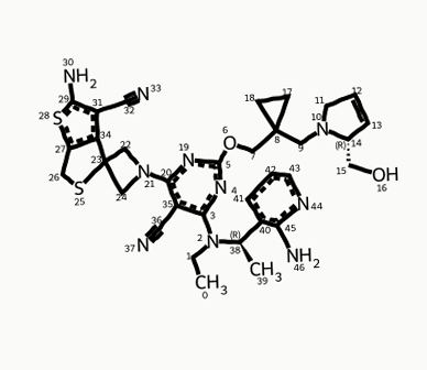 CCN(c1nc(OCC2(CN3CC=C[C@@H]3CO)CC2)nc(N2CC3(C2)SCc2sc(N)c(C#N)c23)c1C#N)[C@H](C)c1cccnc1N